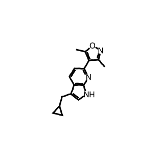 Cc1noc(C)c1-c1ccc2c(CC3CC3)c[nH]c2n1